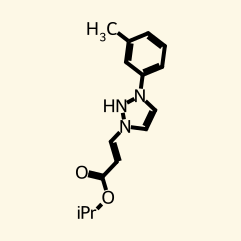 Cc1cccc(N2C=CN(/C=C/C(=O)OC(C)C)N2)c1